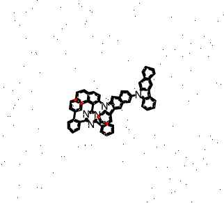 c1ccc(-c2nc(-c3ccccc3-c3ccccc3)nc(-c3c(-n4c5ccccc5c5cc6cc(-n7c8ccccc8c8cc9ccccc9cc87)ccc6cc54)ccc4ccccc34)n2)cc1